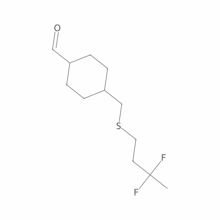 CC(F)(F)CCSCC1CCC(C=O)CC1